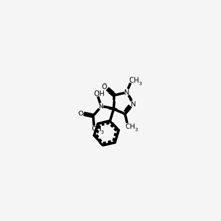 CC(=O)N(O)C1(c2ccccc2)C(=O)N(C)N=C1C